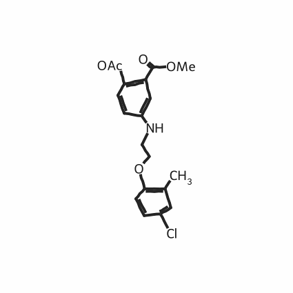 COC(=O)c1cc(NCCOc2ccc(Cl)cc2C)ccc1OC(C)=O